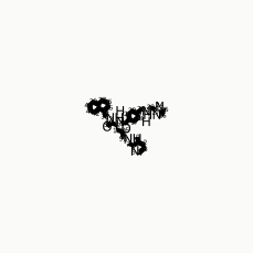 Cc1cccnc1CNCCC[C@H](NC(=O)c1ccc(CNCc2ncc[nH]2)cc1)C(=O)NCc1cccc2ccccc12